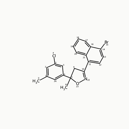 Cc1cc(Cl)cc(C2(C)CC(c3ccc(Br)c4ccccc34)=NO2)c1